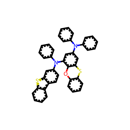 c1ccc(N(c2ccccc2)c2cc3c(c(N(c4ccccc4)c4ccc5c(c4)sc4ccccc45)c2)Oc2ccccc2S3)cc1